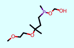 COCCOC(C)(C)CCP(C)OCO